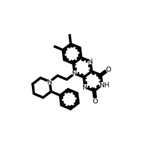 Cc1cc2nc3c(=O)[nH]c(=O)nc-3n(CCN3CCCCC3c3ccccc3)c2cc1C